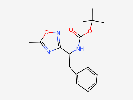 Cc1nc(C(Cc2ccccc2)NC(=O)OC(C)(C)C)no1